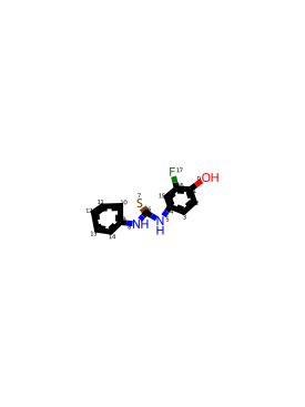 Oc1ccc(NC(=S)Nc2ccccc2)cc1F